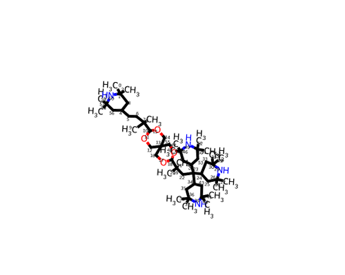 CC1(C)CC(CCC(C)(C)C2OCC3(CO2)COC(C(C)(C)CC(C2CC(C)(C)NC(C)(C)C2)(C2CC(C)(C)NC(C)(C)C2)C2CC(C)(C)NC(C)(C)C2)OC3)CC(C)(C)N1